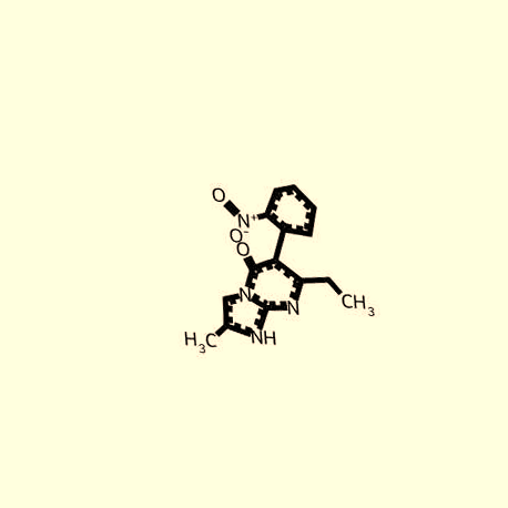 CCc1nc2[nH]c(C)cn2c(=O)c1-c1ccccc1[N+](=O)[O-]